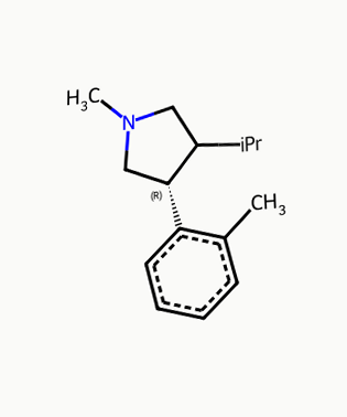 Cc1ccccc1[C@@H]1CN(C)CC1C(C)C